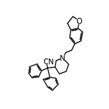 N#CC(c1ccccc1)(c1ccccc1)C1CCCN(CCc2ccc3c(c2)CCO3)C1